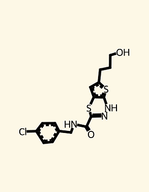 O=C(NCc1ccc(Cl)cc1)C1=NNc2sc(CCCO)cc2S1